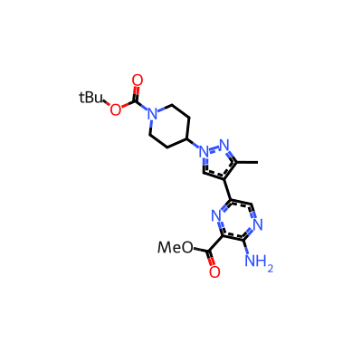 COC(=O)c1nc(-c2cn(C3CCN(C(=O)OC(C)(C)C)CC3)nc2C)cnc1N